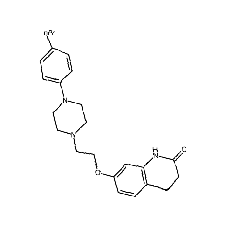 CCCc1ccc(N2CCN(CCOc3ccc4c(c3)NC(=O)CC4)CC2)cc1